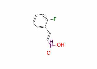 O=[PH](O)C=Cc1ccccc1F